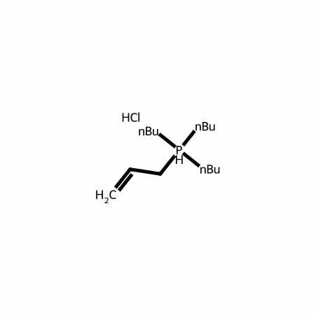 C=CC[PH](CCCC)(CCCC)CCCC.Cl